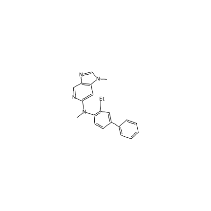 CCc1cc(-c2ccccc2)ccc1N(C)c1cc2c(cn1)ncn2C